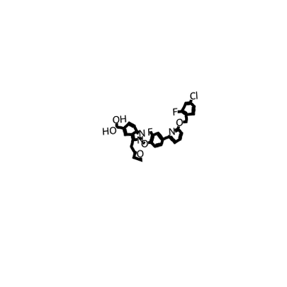 OC(O)c1ccc2nn(Oc3ccc(-c4cccc(OCc5ccc(Cl)cc5F)n4)cc3F)c(CC3CCO3)c2c1